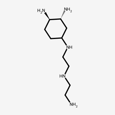 NCCNCCNC1CC[C@@H](N)[C@H](N)C1